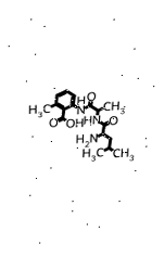 Cc1cccc(NC(=O)C(C)NC(=O)C(N)CC(C)C)c1C(=O)O